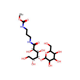 CC(C)(C)OC(=O)NCCCNC(=O)[C@H](O)[C@@H](O)[C@H](OC1OC(CO)C(O)C(O)C1O)[C@H](O)CO